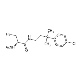 CC(=O)N[C@@H](CS)C(=O)NCC[Si](C)(C)c1ccc(Cl)cc1